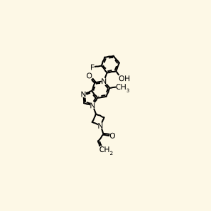 C=CC(=O)N1CC(n2cnc3c(=O)n(-c4c(O)cccc4F)c(C)cc32)C1